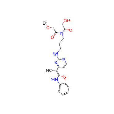 CCOCC(=O)N(CCCNc1nccc(/C(C#N)=C2/Nc3ccccc3O2)n1)C(=O)CO